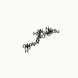 C[C@@H](NC(=O)c1noc(C(C)(C)C)n1)c1ccc(-c2ncnc3[nH]c(-c4ccc(N5CCN(CC6CCN(c7ccc(N8CCC(=O)NC8=O)cc7)CC6)CC5)cn4)cc23)cc1CO